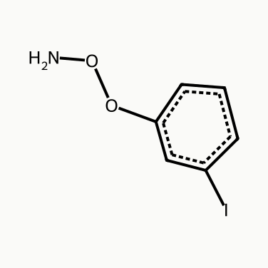 NOOc1cccc(I)c1